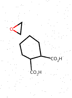 C1CO1.O=C(O)C1CCCCC1C(=O)O